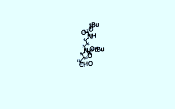 CC(C)(C)OC(=O)NCCCN(CCCC=O)C(=O)OC(C)(C)C